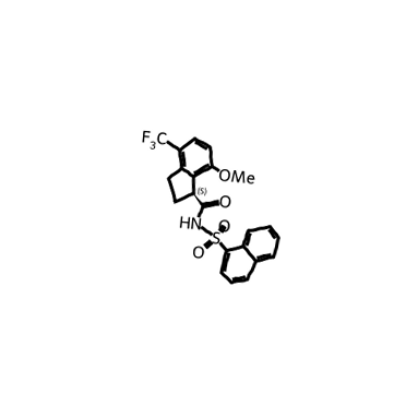 COc1ccc(C(F)(F)F)c2c1[C@@H](C(=O)NS(=O)(=O)c1cccc3ccccc13)CC2